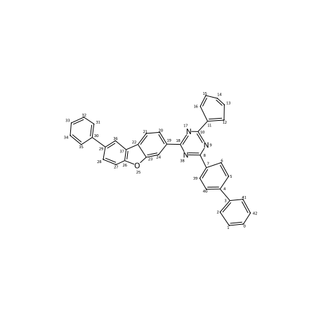 c1ccc(-c2ccc(-c3nc(-c4ccccc4)nc(-c4ccc5c(c4)oc4ccc(-c6ccccc6)cc45)n3)cc2)cc1